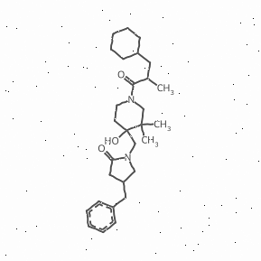 CC(CC1CCCCC1)C(=O)N1CCC(O)(CN2CC(Cc3ccccc3)CC2=O)C(C)(C)C1